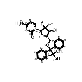 CC(C)(S)C(OC[C@H]1O[C@@H](n2ccc(N)nc2=O)C(F)(F)C1O)(c1ccccc1)c1ccccc1